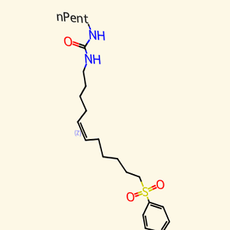 CCCCCNC(=O)NCCCC/C=C\CCCCCS(=O)(=O)c1ccccc1